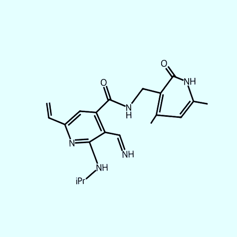 C=Cc1cc(C(=O)NCc2c(C)cc(C)[nH]c2=O)c(C=N)c(NC(C)C)n1